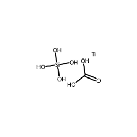 O=C(O)O.O[Si](O)(O)O.[Ti]